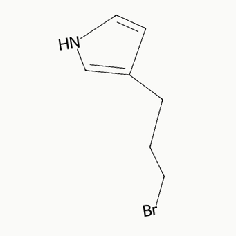 BrCCCc1cc[nH]c1